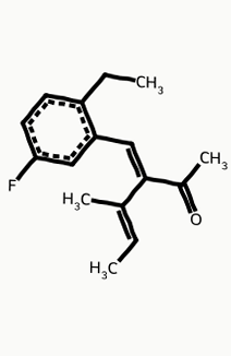 C/C=C(C)/C(=C\c1cc(F)ccc1CC)C(C)=O